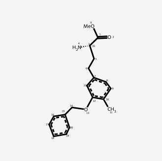 COC(=O)[C@@H](N)CCc1ccc(C)c(OCc2ccccc2)c1